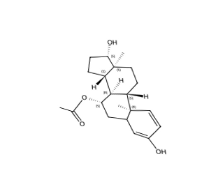 CC(=O)O[C@H]1CC2C=C(O)C=C[C@]2(C)[C@H]2CC[C@]3(C)[C@@H](O)CC[C@H]3[C@H]12